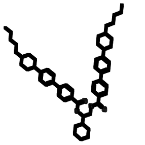 CCCCCC1CCC(c2ccc(-c3ccc(C(=O)OCC(OC(=O)c4ccc(-c5ccc(C6CCC(CCCCC)CC6)cc5)cc4)C4CCCCC4)cc3)cc2)CC1